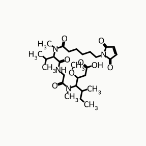 CCC(C)C(C(CC(=O)O)OC)N(C)C(=O)CNC(=O)C(C(C)C)N(C)C(=O)CCCCCN1C(=O)C=CC1=O